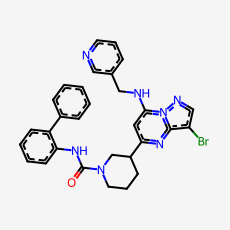 O=C(Nc1ccccc1-c1ccccc1)N1CCCC(c2cc(NCc3cccnc3)n3ncc(Br)c3n2)C1